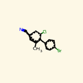 Cc1cc(C#N)cc(Cl)c1-c1ccc(Br)cc1